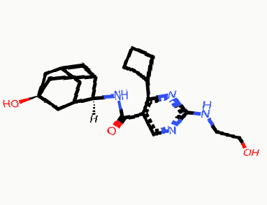 O=C(N[C@H]1C2CC3CC1C[C@@](O)(C3)C2)c1cnc(NCCO)nc1C1CCC1